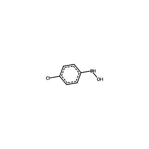 OBc1ccc(Cl)cc1